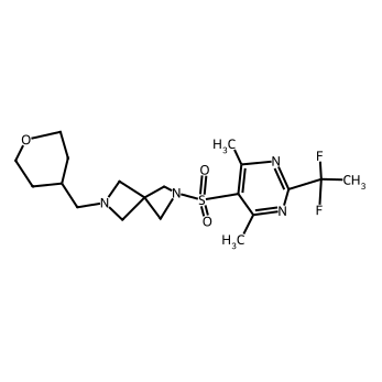 Cc1nc(C(C)(F)F)nc(C)c1S(=O)(=O)N1CC2(CN(CC3CCOCC3)C2)C1